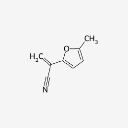 C=C(C#N)c1ccc(C)o1